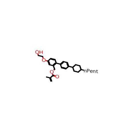 C=C(C)C(=O)OCc1cc(OCCO)ccc1-c1ccc(C2CCC(CCCCC)CC2)cc1